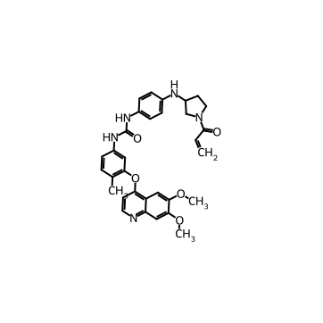 C=CC(=O)N1CCC(Nc2ccc(NC(=O)Nc3ccc(C)c(Oc4ccnc5cc(OC)c(OC)cc45)c3)cc2)C1